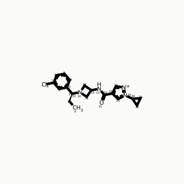 CC[C@@H](c1cccc(Cl)c1)N1CC(NC(=O)c2cnn(C3CC3)c2)C1